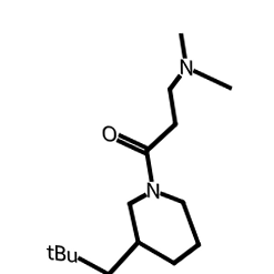 CN(C)CCC(=O)N1CCCC(CC(C)(C)C)C1